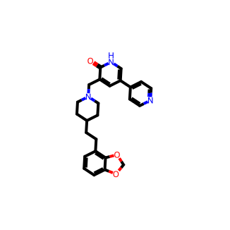 O=c1[nH]cc(-c2ccncc2)cc1CN1CCC(CCc2cccc3c2OCO3)CC1